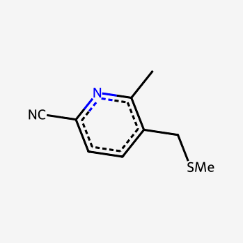 CSCc1ccc(C#N)nc1C